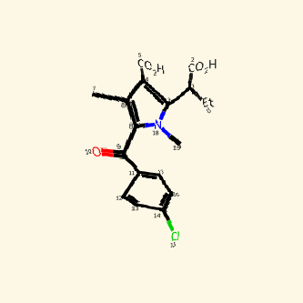 CCC(C(=O)O)c1c(C(=O)O)c(C)c(C(=O)c2ccc(Cl)cc2)n1C